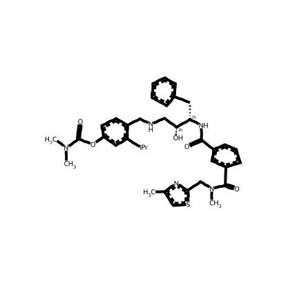 Cc1csc(CN(C)C(=O)c2cccc(C(=O)N[C@@H](Cc3ccccc3)[C@H](O)CNCc3ccc(OC(=O)N(C)C)cc3C(C)C)c2)n1